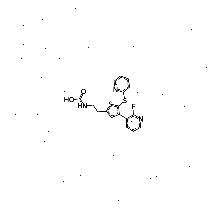 O=C(O)NCCc1cc(-c2cccnc2F)c(Sc2ccccn2)s1